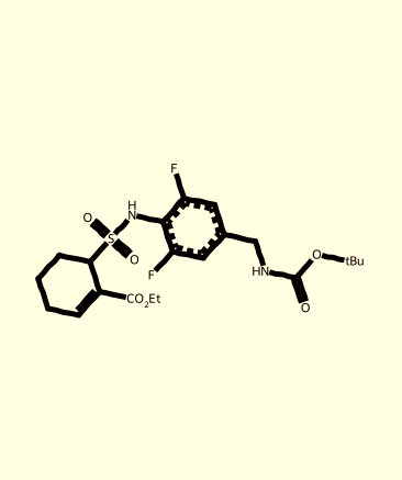 CCOC(=O)C1=CCCCC1S(=O)(=O)Nc1c(F)cc(CNC(=O)OC(C)(C)C)cc1F